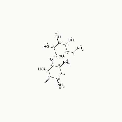 C[C@H]1C(O)[C@H](O[C@H]2OC(CN)[C@@H](O)[C@H](O)C2O)C(N)C[C@H]1N